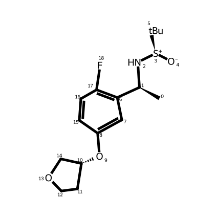 C[C@H](N[S@+]([O-])C(C)(C)C)c1cc(O[C@@H]2CCOC2)ccc1F